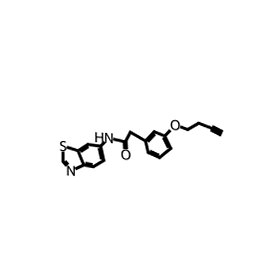 C#CCCOc1cccc(CC(=O)Nc2ccc3ncsc3c2)c1